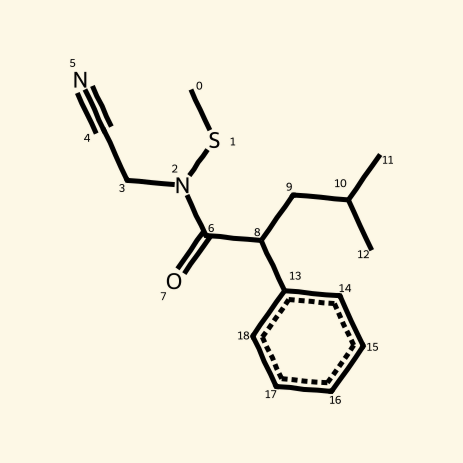 CSN(CC#N)C(=O)C(CC(C)C)c1ccccc1